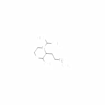 CNCCC1C(C)OCCN1C(C)C